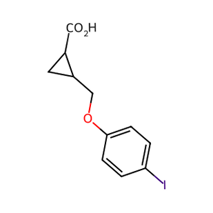 O=C(O)C1CC1COc1ccc(I)cc1